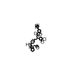 COc1ccc(C2C=NN=N2)cc1C(=O)N(C)CC(CCN1CCC(Nc2nc3ccccc3n2Cc2ccoc2)CC1)c1ccc(Cl)c(Cl)c1